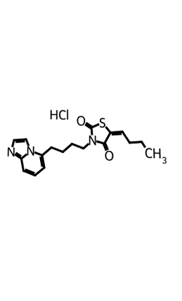 CCCC=C1SC(=O)N(CCCCc2cccc3nccn23)C1=O.Cl